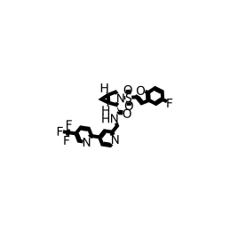 O=C(NCc1cc(-c2ccc(C(F)(F)F)cn2)ccn1)[C@@H]1[C@H]2C[C@H]2CN1S(=O)(=O)c1cc2cc(F)ccc2o1